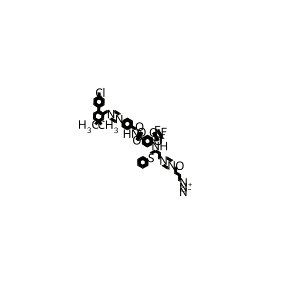 CC1(C)CCC(c2ccc(Cl)cc2)=C(CN2CCN(c3ccc(C(=O)NS(=O)(=O)c4ccc(NC(CCN5CCN(C(=O)CCCN=[N+]=[N-])CC5)CSc5ccccc5)c(S(=O)(=O)C(F)(F)F)c4)cc3)CC2)C1